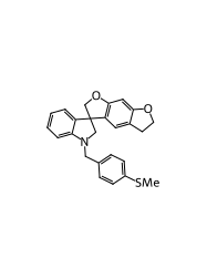 CSc1ccc(CN2CC3(COc4cc5c(cc43)CCO5)c3ccccc32)cc1